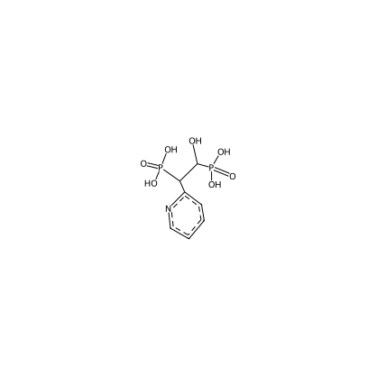 O=P(O)(O)C(O)C(c1ccccn1)P(=O)(O)O